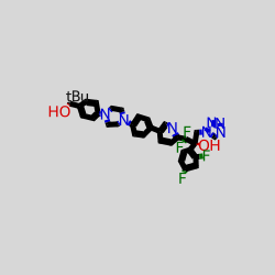 CC(C)(C)C(O)c1ccc(N2CCN(c3ccc(-c4ccc(C(F)(F)[C@](O)(Cn5cnnn5)c5ccc(F)cc5F)nc4)cc3)CC2)cc1